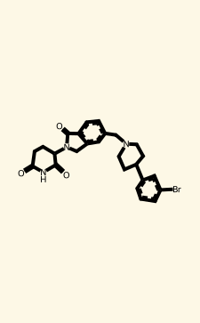 O=C1CCC(N2Cc3cc(CN4CCC(c5cccc(Br)c5)CC4)ccc3C2=O)C(=O)N1